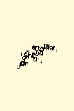 CC1CN(c2ncc(F)c(OCc3ccc(Cl)cc3F)n2)CCN1Cc1nc2cc(-c3nnc(C(F)(F)F)[nH]3)cnc2n1CC1CCO1